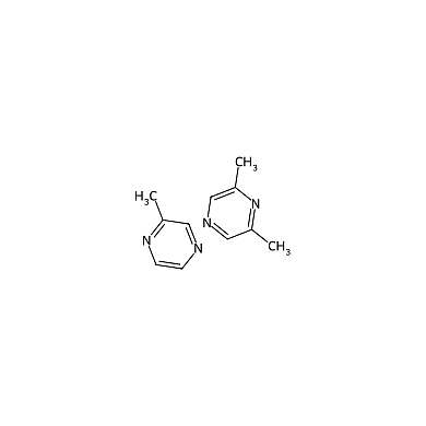 Cc1cncc(C)n1.Cc1cnccn1